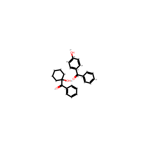 O=C(c1ccccc1)C1(O)CCCCC1.O=C(c1ccccc1)c1ccc(O)cc1